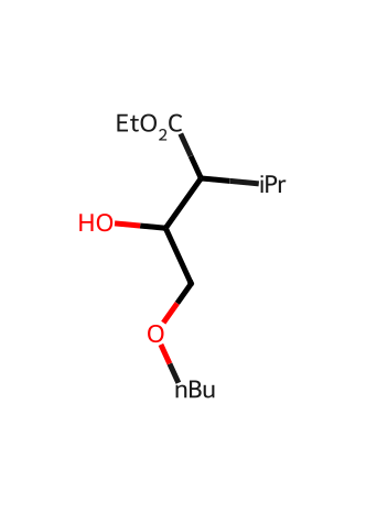 CCCCOCC(O)C(C(=O)OCC)C(C)C